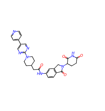 O=C1CCC(N2Cc3cc(NC(=O)CC4CCN(c5ncc(-c6ccncc6)cn5)CC4)ccc3C2=O)C(=O)N1